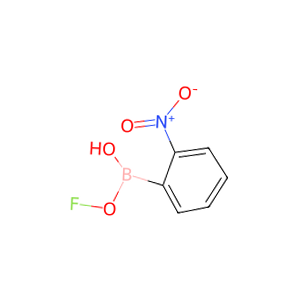 O=[N+]([O-])c1ccccc1B(O)OF